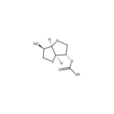 CCCC(=O)O[C@H]1CO[C@H]2[C@@H]1OC[C@H]2O